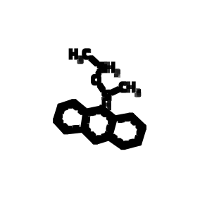 C[SiH2]O[SiH](C)c1c2ccccc2cc2ccccc12